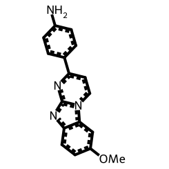 COc1ccc2nc3nc(-c4ccc(N)cc4)ccn3c2c1